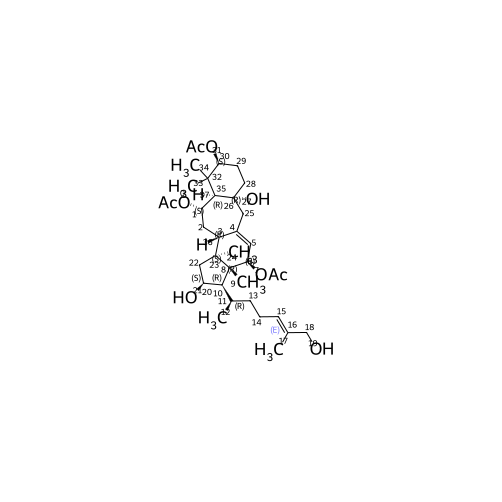 CC(=O)O[C@H]1C[C@@H]2C(=C[C@@H](OC(C)=O)[C@]3(C)[C@@H]([C@H](C)CC/C=C(\C)CO)[C@@H](O)C[C@@]23C)C[C@]2(O)CC[C@H](OC(C)=O)C(C)(C)[C@H]12